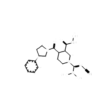 CN(C)C(=NC#N)N1CCC(C(=O)N2CC[C@H](c3ccccc3)C2)C(C(=O)NO)C1